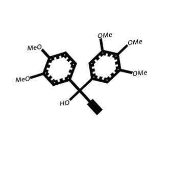 C#CC(O)(c1ccc(OC)c(OC)c1)c1cc(OC)c(OC)c(OC)c1